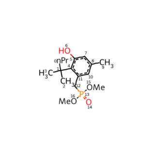 CCCC(C)(C)c1c(O)cc(C)cc1CP(=O)(OC)OC